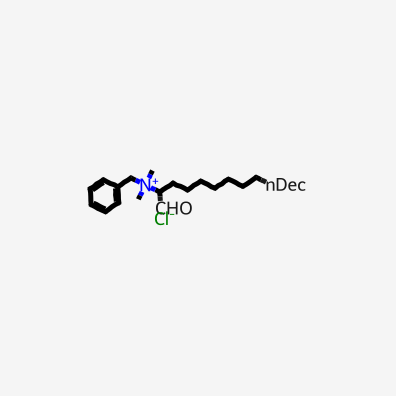 CCCCCCCCCCCCCCCCCC(C=O)[N+](C)(C)Cc1ccccc1.[Cl-]